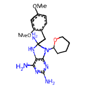 COc1ccc(CC2(N)Nc3c(N)nc(N)nc3N2C2CCCCO2)c(OC)c1